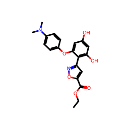 CCOC(=O)c1cc(-c2c(O)cc(O)cc2Oc2ccc(N(C)C)cc2)no1